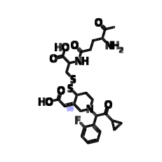 CC(=O)C(N)CCC(=O)NC(CSSC1CCN(C(C(=O)C2CC2)c2ccccc2F)C/C1=C/C(=O)O)C(=O)O